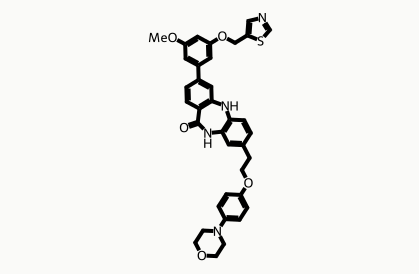 COc1cc(OCc2cncs2)cc(-c2ccc3c(c2)Nc2ccc(CCOc4ccc(N5CCOCC5)cc4)cc2NC3=O)c1